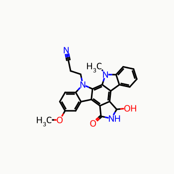 COc1ccc2c(c1)c1c3c(c4c5ccccc5n(C)c4c1n2CCC#N)C(O)NC3=O